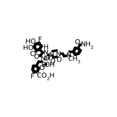 CN(CCN1CCN(C(=O)NC(C(=O)NC2Cc3ccc(F)c(C(=O)O)c3OB2O)c2cc(F)c(O)c(O)c2Cl)C(=O)C1=O)Cc1cccc(C(N)=O)c1